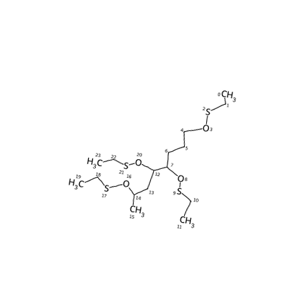 CCSOCCCC(OSCC)C(CC(C)OSCC)OSCC